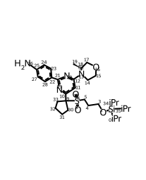 CC(C)[Si](OCCCS(=O)(=O)C1(c2cc(N3CCOC[C@@H]3C)nc(-c3ccc(N)cc3)n2)CCCC1)(C(C)C)C(C)C